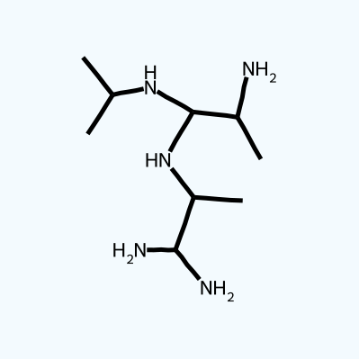 CC(C)NC(NC(C)C(N)N)C(C)N